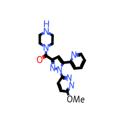 COc1ccc(-n2nc(C(=O)N3CCNCC3)cc2-c2ccccn2)nn1